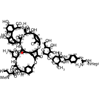 CCCCCCCN/C(N)=N/c1ccc(CNC2(CC)C[C@H](OC3C(O)[C@H](O)C(CO)O[C@H]3Oc3c4cc5cc3Oc3ccc(cc3Cl)[C@@H](O)[C@@H]3NC(=O)[C@H](NC(=O)[C@@H]5NC(=O)C(CC(N)=O)NC(=O)[C@H](NC(=O)[C@@H](CC(C)C)NC)[C@H](O)c5ccc(cc5)O4)c4ccc(O)c(c4)C4=C(O)C[C@@H](O)C=C4[C@@H](C(=O)O)NC3=O)OC(C)[C@H]2O)cc1